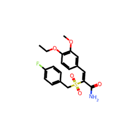 CCOc1ccc(C=C(C(N)=O)S(=O)(=O)Cc2ccc(F)cc2)cc1OC